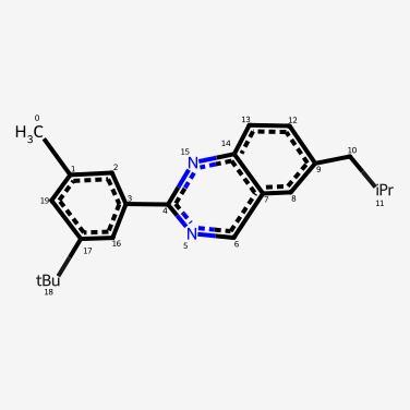 Cc1cc(-c2ncc3cc(CC(C)C)ccc3n2)cc(C(C)(C)C)c1